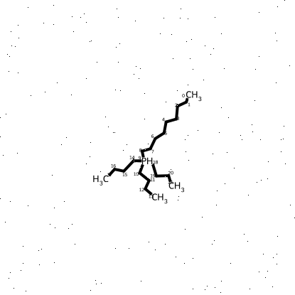 CCCCCCCCC[PH](CCCC)(CCCC)CCCC